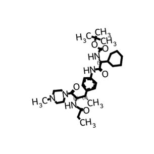 CCC(=O)N[C@@H](C(=O)N1CCN(C)CC1)[C@@H](C)c1ccc(NC(=O)[C@@H](NC(=O)OC(C)(C)C)C2CCCCC2)cc1